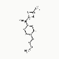 NOCCN1CCC(C(=O)N2CC(N)C2)CC1